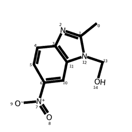 Cc1nc2ccc([N+](=O)[O-])cc2n1CO